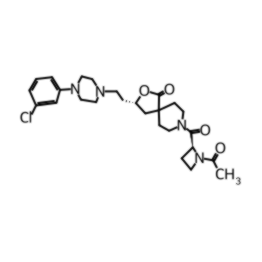 CC(=O)N1CC[C@H]1C(=O)N1CCC2(CC1)C[C@H](CCN1CCN(c3cccc(Cl)c3)CC1)OC2=O